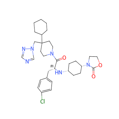 O=C([C@@H](Cc1ccc(Cl)cc1)N[C@H]1CC[C@@H](N2CCOC2=O)CC1)N1CCC(Cn2cncn2)(C2CCCCC2)CC1